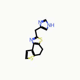 c1nc(Cc2nc3c(s2)CCc2sccc2-3)c[nH]1